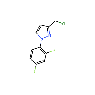 Fc1ccc(-n2ccc(CCl)n2)c(F)c1